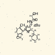 Cc1ccc(C)c(-n2cc([C@H](NC(=O)CO)C(C)(C)C)c(Cc3ccccc3)n2)c1